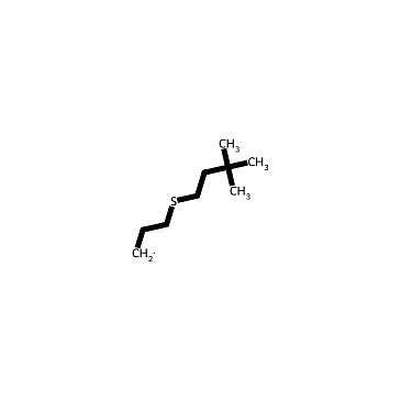 [CH2]CCSCCC(C)(C)C